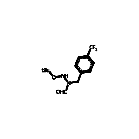 CC(C)(C)ONN(C=O)Cc1ccc(C(F)(F)F)cc1